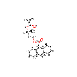 C=C(C)C(=O)OC(C)(CC)CCOC(=O)c1c2ccccc2cc2ccccc12